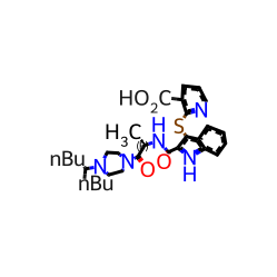 CCCCC(CCCC)N1CCN(C(=O)[C@@H](C)NC(=O)c2[nH]c3ccccc3c2Sc2ncccc2C(=O)O)CC1